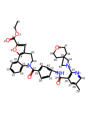 CCOC(=O)c1cc2c(o1)-c1ccccc1N(C(=O)c1ccc(NC(=O)c3cc(C)cnc3N3CC4(CCOCC4)C3)cc1)CC2